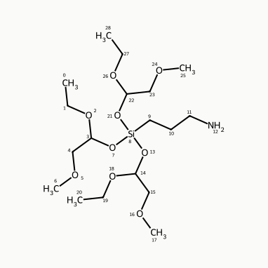 CCOC(COC)O[Si](CCCN)(OC(COC)OCC)OC(COC)OCC